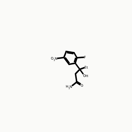 CCC(O)(CC(N)=O)c1cc([N+](=O)[O-])ccc1F